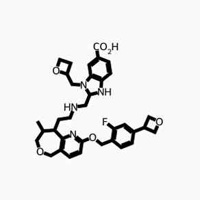 CC1COCc2ccc(OCc3ccc(C4COC4)cc3F)nc2C1CCNCC1Nc2ccc(C(=O)O)cc2N1CC1CCO1